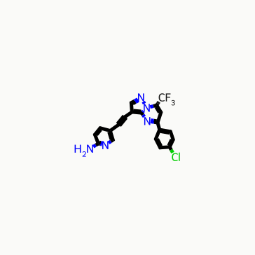 Nc1ccc(C#Cc2cnn3c(C(F)(F)F)cc(-c4ccc(Cl)cc4)nc23)cn1